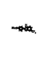 CSc1ccc(-c2nc3cc(C(F)(F)F)ccc3[nH]2)cc1